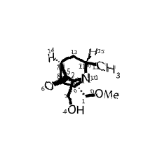 COC[C@]1(CO)C(=O)[C@H]2CCN1[C@@H](C)C2